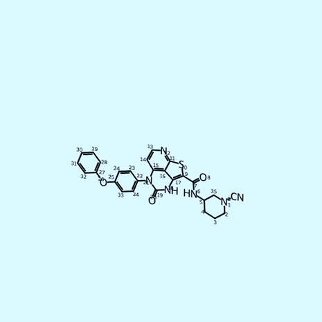 N#CN1CCCC(NC(=O)c2sc3nccc4c3c2NC(=O)N4c2ccc(Oc3ccccc3)cc2)C1